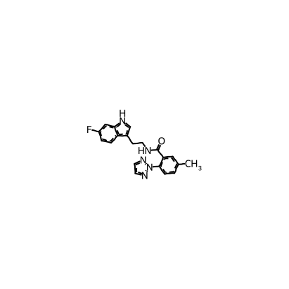 Cc1ccc(-n2nccn2)c(C(=O)NCCc2c[nH]c3cc(F)ccc23)c1